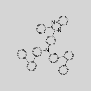 c1ccc(-c2ccccc2-c2cccc(N(c3ccc(-c4nc5ccccc5nc4-c4ccccc4)cc3)c3cccc(-c4ccccc4-c4ccccc4)c3)c2)cc1